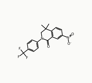 CC1(C)CN(c2ccc(C(F)(F)F)cc2)C(=O)c2cc([N+](=O)[O-])ccc21